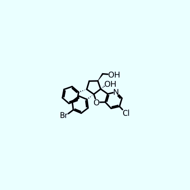 OC[C@@H]1C[C@@H](c2ccccc2)[C@]2(c3ccc(Br)cc3)Oc3cc(Cl)cnc3[C@]12O